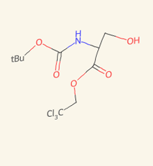 CC(C)(C)OC(=O)NC(CO)C(=O)OCC(Cl)(Cl)Cl